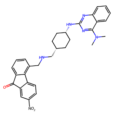 CN(C)c1nc(N[C@H]2CC[C@@H](CNCc3cccc4c3-c3ccc([N+](=O)[O-])cc3C4=O)CC2)nc2ccccc12